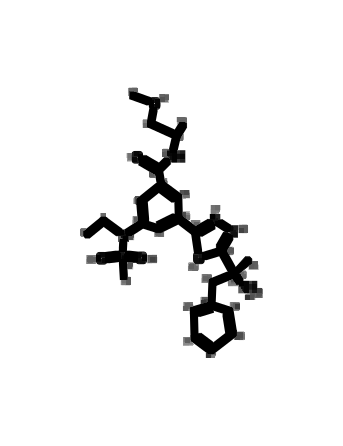 CCN(c1cc(C(=O)NC(C)COC)cc(-c2nnc([C@](C)(N)Cc3ccccc3)o2)c1)S(C)(=O)=O